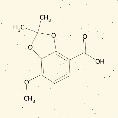 COc1ccc(C(=O)O)c2c1OC(C)(C)O2